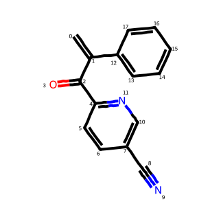 C=C(C(=O)c1ccc(C#N)cn1)c1ccccc1